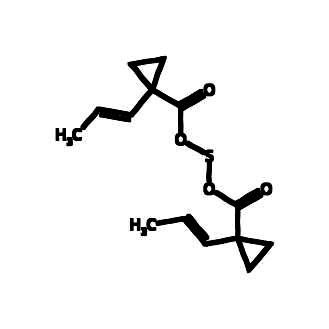 CC=CC1(C(=O)OSOC(=O)C2(C=CC)CC2)CC1